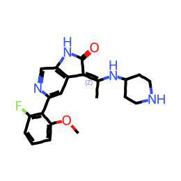 COc1cccc(F)c1-c1cc2c(cn1)NC(=O)/C2=C(/C)NC1CCNCC1